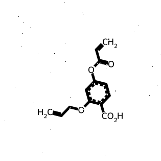 C=CCOc1cc(OC(=O)C=C)ccc1C(=O)O